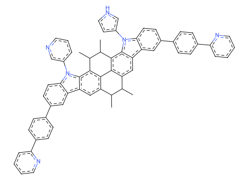 CC1c2cc3c4cc(-c5ccc(-c6ccccn6)cc5)ccc4n(-c4cccnc4)c3c3c2-c2c(cc4c5cc(-c6ccc(-c7ccccn7)cc6)ccc5n(-c5cc[nH]c5)c4c2C(C)C3C)C1C